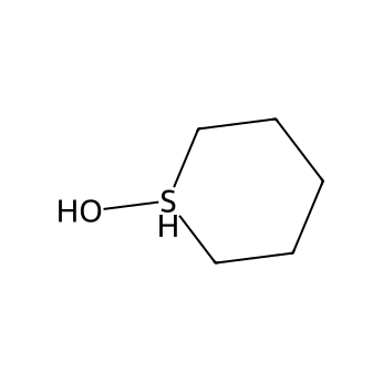 O[SH]1CCCCC1